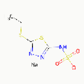 CCSc1nnc(NS(=O)(=O)[O-])s1.[Na+]